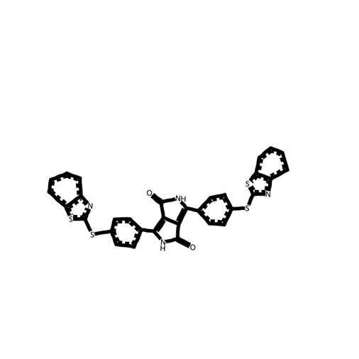 O=C1NC(c2ccc(Sc3nc4ccccc4s3)cc2)=C2C(=O)NC(c3ccc(Sc4nc5ccccc5s4)cc3)=C12